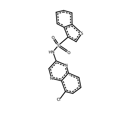 O=S(=O)(Nc1cnc2c(Cl)cccc2n1)c1csc2ccccc12